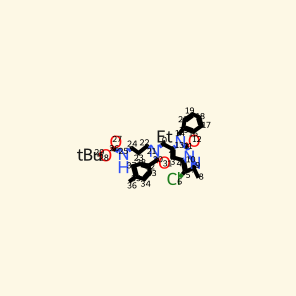 CC[C@H](c1cc2c(Cl)c(C)nn2c(=O)n1Cc1ccccc1)N(CCCNC(=O)OC(C)(C)C)C(=O)c1ccc(C)cc1